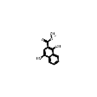 COC(=O)c1cc(O)c2ccccc2c1O